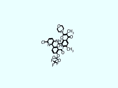 Cc1cc(C(C)Nc2ccc(Cl)nc2-c2ccc(OS(=O)(=O)C(F)(F)F)c(C=O)c2)c2oc(N3CCOCC3)c(C)c(=O)c2c1